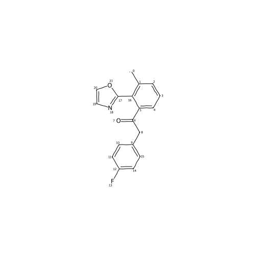 [CH2]c1cccc(C(=O)Cc2ccc(F)cc2)c1-c1ncco1